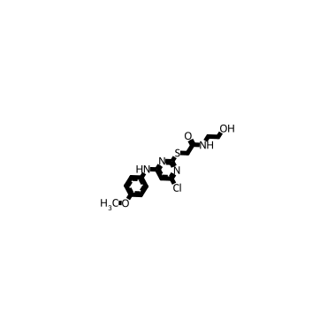 COc1ccc(Nc2cc(Cl)nc(SCC(=O)NCCO)n2)cc1